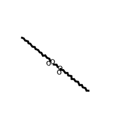 CCCCCCCCCCCCCCCCC(=O)O[CH]CCOC(=O)CCCCCCCCCCCCCCC